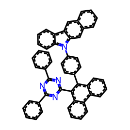 c1ccc(-c2nc(-c3ccccc3)nc(-c3c(-c4ccc(-n5c6ccccc6c6cc7ccccc7cc65)cc4)c4ccccc4c4ccccc34)n2)cc1